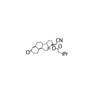 CC(C)CC(=O)O[C@@]1(CC#N)CCC2C3CCC4=CC(=O)CCC4=C3CC[C@@]21C